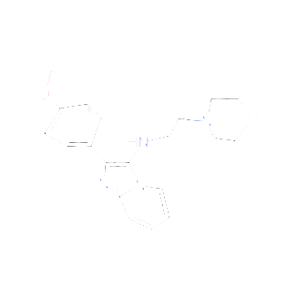 COc1ccc(-c2nc3ccccn3c2NCCN2CCOCC2)cc1